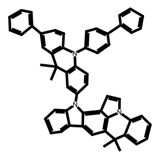 CC1(C)c2cc(-c3ccccc3)ccc2N(c2ccc(-c3ccccc3)cc2)c2ccc(-n3c4ccccc4c4cc5c6c(ccn6-c6ccccc6C5(C)C)c43)cc21